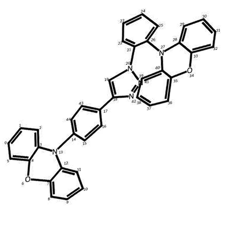 c1ccc2c(c1)Oc1ccccc1N2c1ccc(-c2cn(-c3ccccc3N3c4ccccc4Oc4ccccc43)nn2)cc1